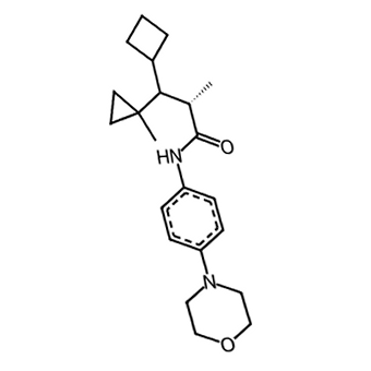 C[C@H](C(=O)Nc1ccc(N2CCOCC2)cc1)C(C1CCC1)C1(C)CC1